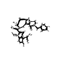 C[C@@H]1Cc2nn3c(c2CN1C(=O)c1cc2c(C(F)F)c(F)ccc2[nH]1)C(=O)N(Cc1ccccn1)CC3